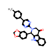 Cc1ccc(-c2cnc(N3CC(=O)c4c([nH]c5ccccc45)C3c3ccc4c(c3)OCO4)nc2)cc1